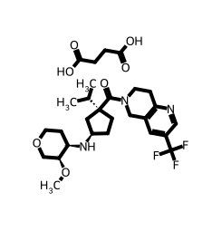 CO[C@H]1COCC[C@H]1N[C@@H]1CC[C@@](C(=O)N2CCc3ncc(C(F)(F)F)cc3C2)(C(C)C)C1.O=C(O)CCC(=O)O